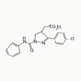 CCOC(=O)CC1CN(C(=O)Nc2ccccc2)N=C1c1ccc(Cl)cc1